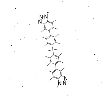 Cc1c(C)c(C(C)(C)c2c(C)c(C)c(-c3c(C)c(C)c4c(nnn4C)c3C)c(C)c2C)c(C)c(C)c1-c1c(C)c(C)c2c(nnn2C)c1C